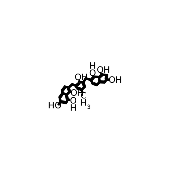 Cc1cc(Cc2ccc3cc(O)cc(O)c3c2O)c(O)c(Cc2ccc3cc(O)cc(O)c3c2O)c1